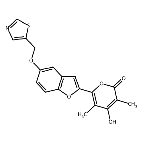 Cc1c(-c2cc3cc(OCc4cncs4)ccc3o2)oc(=O)c(C)c1O